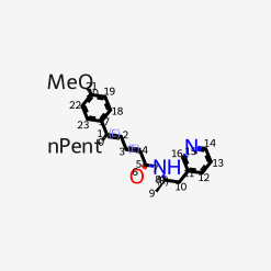 CCCCC/C(=C\C=C\C(=O)N[C@H](C)Cc1cccnc1)c1ccc(OC)cc1